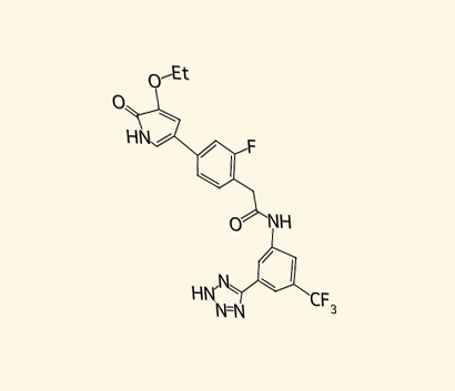 CCOc1cc(-c2ccc(CC(=O)Nc3cc(-c4nn[nH]n4)cc(C(F)(F)F)c3)c(F)c2)c[nH]c1=O